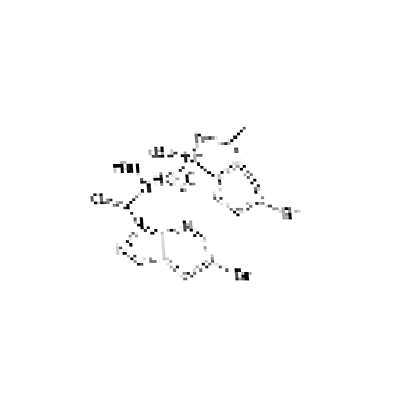 CC(C)(C)OC(=O)n1ncc2cc(Br)cnc21.CC1=N[N+](C(=O)O)(C(C)(C)C)c2ccc(Br)cc21